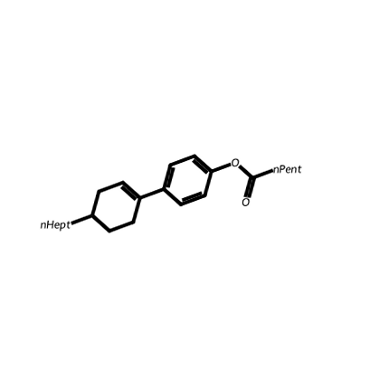 CCCCCCCC1CC=C(c2ccc(OC(=O)CCCCC)cc2)CC1